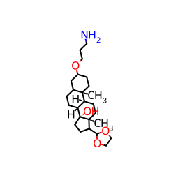 C[C@]12CCC(OCCCN)CC1CC[C@@H]1[C@H]2CC[C@]2(C)C(C3OCCO3)CC[C@@]12O